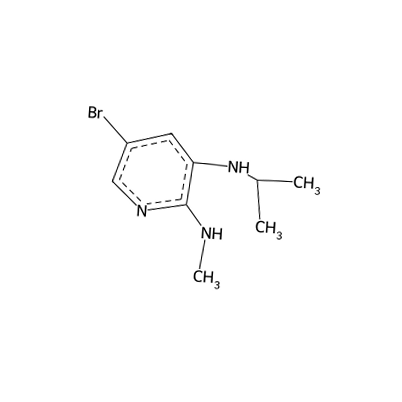 CNc1ncc(Br)cc1NC(C)C